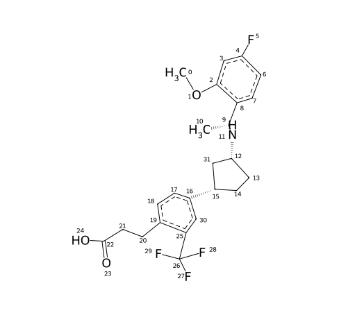 COc1cc(F)ccc1[C@@H](C)N[C@@H]1CC[C@H](c2ccc(CCC(=O)O)c(C(F)(F)F)c2)C1